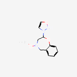 O=CON1Cc2ccccc2OC(N2C=CON2)C1